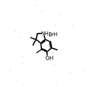 Br.Cc1cc2c(c(C)c1O)C(C)(C)CN2